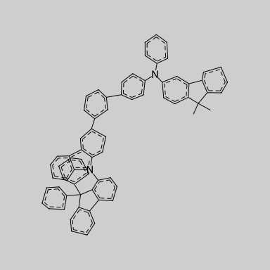 CC1(C)c2ccccc2-c2cc(N(c3ccccc3)c3ccc(-c4cccc(-c5ccc6c(c5)c5ccccc5n6-c5cccc6c5C(c5ccccc5)(c5ccccc5)c5ccccc5-6)c4)cc3)ccc21